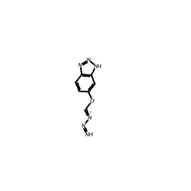 N=N/N=C/Oc1ccc2nn[nH]c2c1